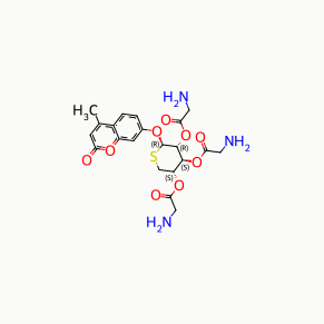 Cc1cc(=O)oc2cc(O[C@@H]3SC[C@@H](OC(=O)CN)[C@H](OC(=O)CN)[C@H]3OC(=O)CN)ccc12